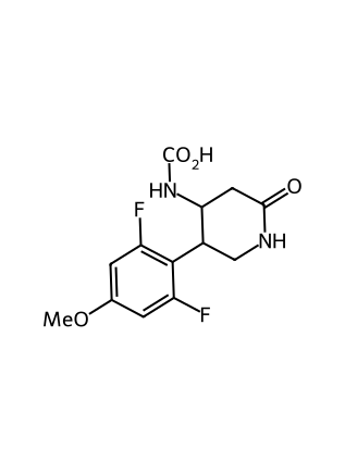 COc1cc(F)c(C2CNC(=O)CC2NC(=O)O)c(F)c1